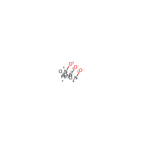 O=[N+]([O-])[O-].O=[N+]([O-])[O-].O=[N+]([O-])[O-].[Pb+3]